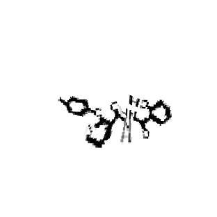 Cc1ccc(Oc2ncccc2C(=O)NNC(=O)c2ccccc2O)cc1